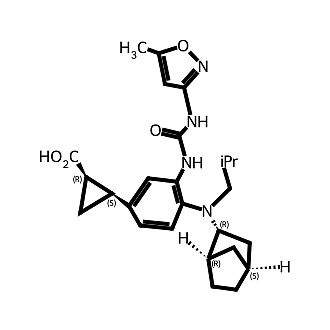 Cc1cc(NC(=O)Nc2cc([C@H]3C[C@H]3C(=O)O)ccc2N(CC(C)C)[C@@H]2C[C@H]3CC[C@@H]2C3)no1